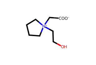 O=C([O-])C[N+]1(CCO)CCCC1